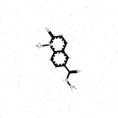 COC(=O)c1ccc2c(ccc(=O)n2C)c1